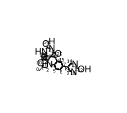 C[C@@H]1CN2c3ccc(-c4cnc(O)nc4)cc3CC3(C(=O)NC(=O)NC3=O)[C@H]2[C@H](C)O1